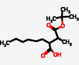 CCCCCCC(C(=O)O)C(C)C(=O)OC(C)(C)C